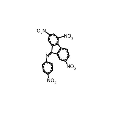 O=[N+]([O-])c1ccc(/N=C2\c3cc([N+](=O)[O-])ccc3-c3c2cc([N+](=O)[O-])cc3[N+](=O)[O-])cc1